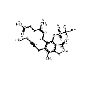 CCC#CCc1c(C)c2c(c(OS(=O)(=O)C(F)(F)F)c1CC=C(C)CCC(=O)O)C(=O)OC2